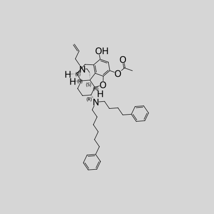 C=CCN1CC[C@]23c4c5c(O)cc(OC(C)=O)c4O[C@H]2[C@H](N(CCCCCCc2ccccc2)CCCCc2ccccc2)CC[C@H]3[C@H]1C5